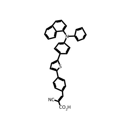 N#C/C(=C\c1ccc(-c2ccc(-c3ccc(N(c4ccccc4)c4cccc5ccccc45)cc3)s2)cc1)C(=O)O